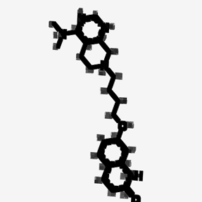 CN(C)c1ncnc2c1CCN(CCCCOc1ccc3ccc(=O)[nH]c3c1)C2